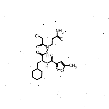 Cc1cc(C(=O)N[C@@H](CC2CCCCC2)C(=O)NN(CCC(N)=O)C(=O)CCl)no1